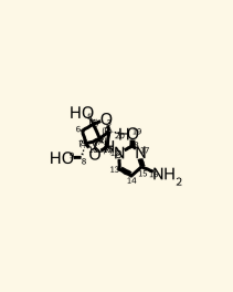 C[C@]12[C@H]3O[C@@]1(O)C[C@]2(CO)O[C@H]3n1ccc(N)nc1=O